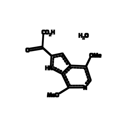 COc1cnc(OC)c2[nH]c(C(=O)C(=O)O)cc12.O